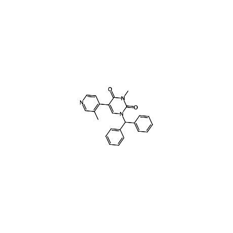 Cc1cnccc1-c1cn(C(c2ccccc2)c2ccccc2)c(=O)n(C)c1=O